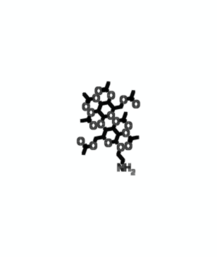 CC(=O)OCC1OC(OC2C(COC(C)=O)OC(OCCN)C(OC(C)=O)C2OC(C)=O)C(OC(C)=O)C(OC(C)=O)C1OC(C)=O